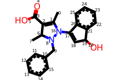 CC1=C(C(=O)O)C(C)N(Cc2ccccc2)N1C1=CC(O)c2ccccc21